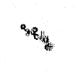 O=C(NCC1(c2ccccn2)C2CCN(c3nc4nc(Sc5cccnc5C(F)(F)F)cnc4[nH]3)CC21)OCc1ccccc1